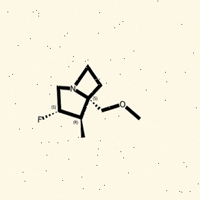 COC[C@@]12CCN1C[C@@H](F)[C@@H]2C